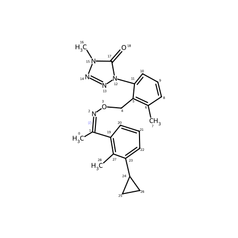 C/C(=N/OCc1c(C)cccc1-n1nnn(C)c1=O)c1cccc(C2CC2)c1C